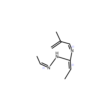 C=C(C)/C=N\C(=C\C)N/N=C\C